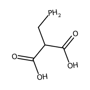 O=C(O)C(CP)C(=O)O